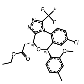 CCOC(=O)C[C@H]1O[C@H](c2ccc(C)cc2OC)c2cc(Cl)ccc2-n2c1nnc2C(F)(F)F